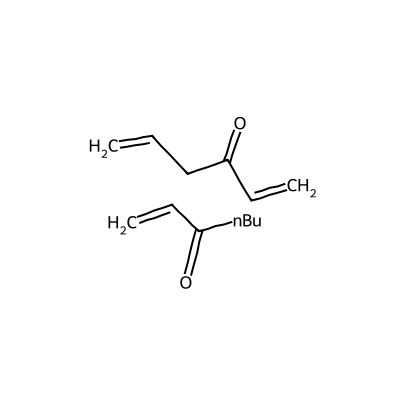 C=CC(=O)CCCC.C=CCC(=O)C=C